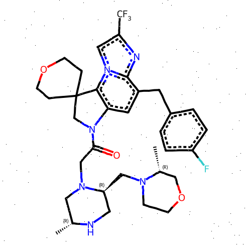 C[C@@H]1CN(CC(=O)N2CC3(CCOCC3)c3c2cc(Cc2ccc(F)cc2)c2nc(C(F)(F)F)cn32)[C@@H](CN2CCOC[C@H]2C)CN1